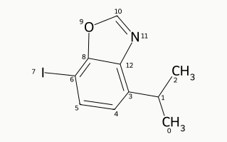 CC(C)c1ccc(I)c2ocnc12